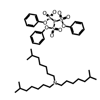 CC(C)CCCCCN(CCCCCC(C)C)CCCCCC(C)C.O=S(=O)(Oc1ccccc1)P(S(=O)(=O)Oc1ccccc1)S(=O)(=O)Oc1ccccc1